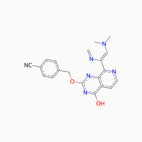 C=N/C(=C\N(C)C)c1nccc2c(O)nc(OCc3ccc(C#N)cc3)nc12